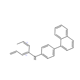 C=C/C=C(\C=C/C)Nc1ccc(-c2cccc3ccccc23)cc1